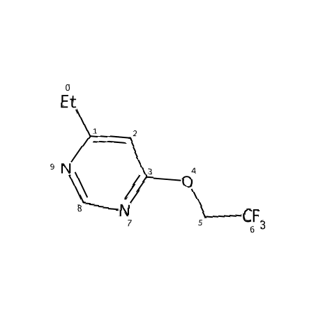 CCc1cc(OCC(F)(F)F)ncn1